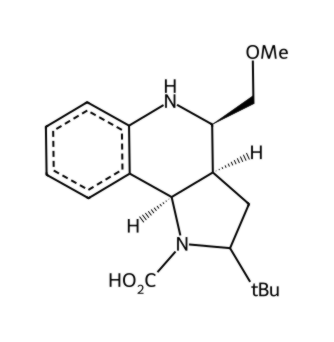 COC[C@@H]1Nc2ccccc2[C@H]2[C@@H]1CC(C(C)(C)C)N2C(=O)O